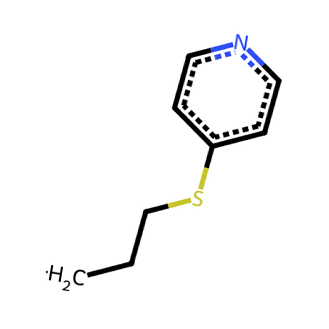 [CH2]CCSc1ccncc1